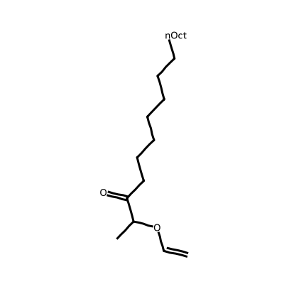 C=COC(C)C(=O)CCCCCCCCCCCCCCC